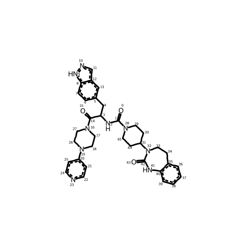 O=C(NC(Cc1ccc2[nH]ncc2c1)C(=O)N1CCN(c2ccncc2)CC1)N1CCC(N2CCc3ccccc3NC2=O)CC1